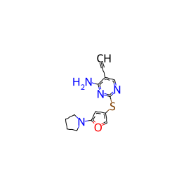 C#Cc1cnc(Sc2coc(N3CCCC3)c2)nc1N